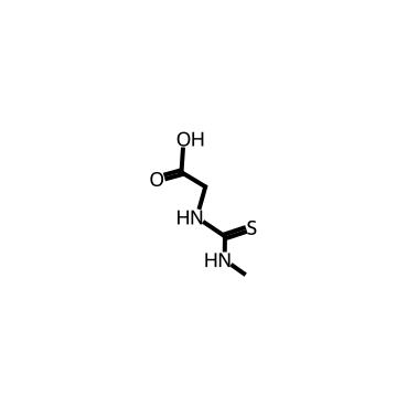 CNC(=S)NCC(=O)O